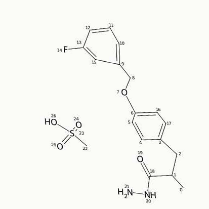 CC(Cc1ccc(OCc2cccc(F)c2)cc1)C(=O)NN.CS(=O)(=O)O